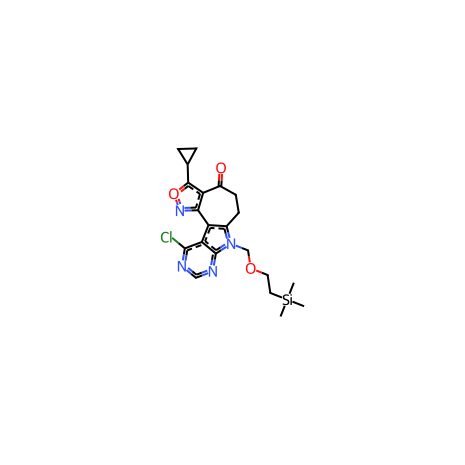 C[Si](C)(C)CCOCn1c2c(c3c(Cl)ncnc31)-c1noc(C3CC3)c1C(=O)CC2